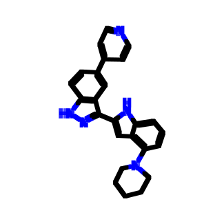 c1cc(N2CCCCC2)c2cc(-c3n[nH]c4ccc(-c5ccncc5)cc34)[nH]c2c1